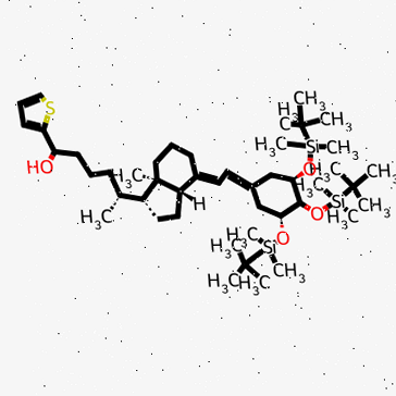 C[C@H](CCCC(O)c1cccs1)[C@H]1CC[C@H]2/C(=C/C=C3C[C@@H](O[Si](C)(C)C(C)(C)C)C(O[Si](C)(C)C(C)(C)C)[C@H](O[Si](C)(C)C(C)(C)C)C3)CCC[C@]12C